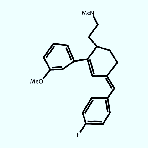 CNCCC1CCC(=Cc2ccc(F)cc2)C=C1c1cccc(OC)c1